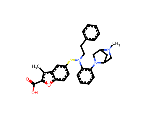 Cc1c(C(=O)O)oc2ccc(SN(CCc3ccccc3)c3ccccc3N3CC4CC3CN4C)cc12